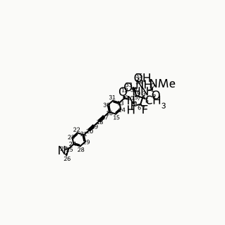 CNC(=O)NC(C)(C(F)F)[C@H](NC(=O)c1ccc(C#CC#Cc2ccc(C3C=N3)cc2)cc1)C(=O)NO